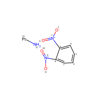 O=[N+]([O-])c1ccccc1[N+](=O)[O-].[NH2][Pt]